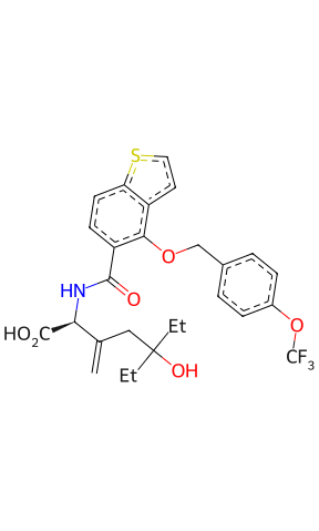 C=C(CC(O)(CC)CC)[C@H](NC(=O)c1ccc2sccc2c1OCc1ccc(OC(F)(F)F)cc1)C(=O)O